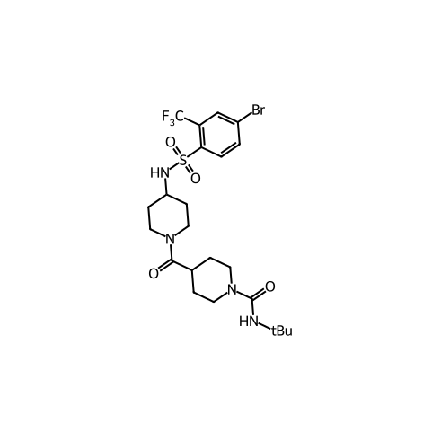 CC(C)(C)NC(=O)N1CCC(C(=O)N2CCC(NS(=O)(=O)c3ccc(Br)cc3C(F)(F)F)CC2)CC1